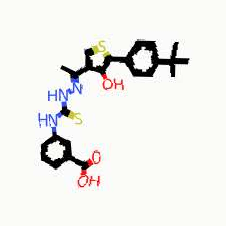 C/C(=N\NC(=S)Nc1cccc(C(=O)O)c1)c1csc(-c2ccc(C(C)(C)C)cc2)c1O